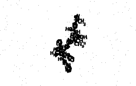 Cc1ncsc1-c1ccc([C@H](CO)NC(=O)[C@@H]2C[C@@H](O)CN2C(=O)[C@H](C(C)C)n2cc(-c3ccc(COc4c(-c5c(C)c(F)cc6c5cnn6C5CCCCO5)c(C5CC5)cc5c(NC6CN(c7ncccn7)C6)nc(OC6CCOCC6)nc45)cc3)nn2)cc1